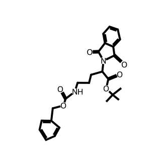 CC(C)(C)OC(=O)C(CCCNC(=O)OCc1ccccc1)N1C(=O)c2ccccc2C1=O